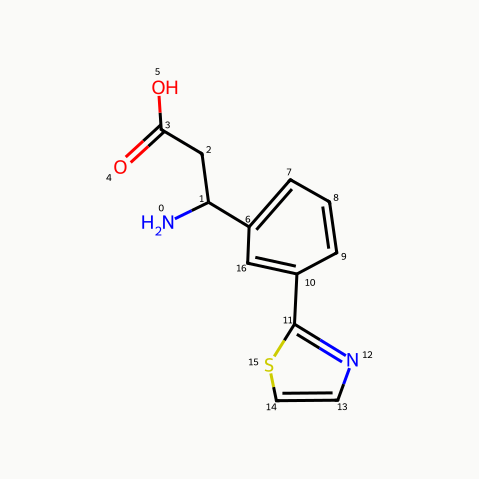 NC(CC(=O)O)c1cccc(-c2nccs2)c1